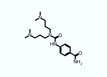 CN(C)CCCN(CCCN(C)C)C(=O)Nc1ccc(C(N)=O)cc1